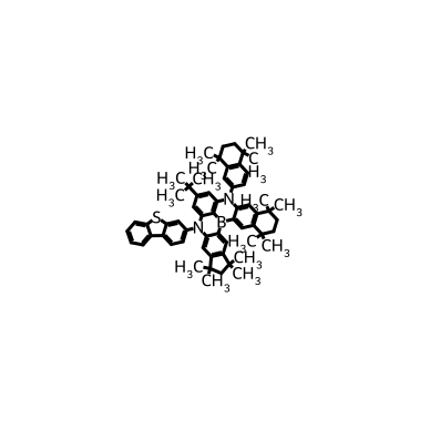 CC(C)(C)c1cc2c3c(c1)N(c1ccc4c(c1)sc1ccccc14)c1cc4c(cc1B3c1cc3c(cc1N2c1ccc2c(c1)C(C)(C)CCC2(C)C)C(C)(C)CCC3(C)C)C(C)(C)CC4(C)C